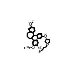 CCCOc1cc(C2=C(c3ccc(O[C@H]4CCN(CCCF)C4)cc3)c3ccc(OF)cc3CCC2)ccc1CC